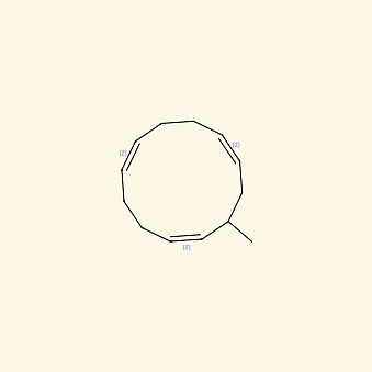 CC1/C=C\CC/C=C\CC/C=C\C1